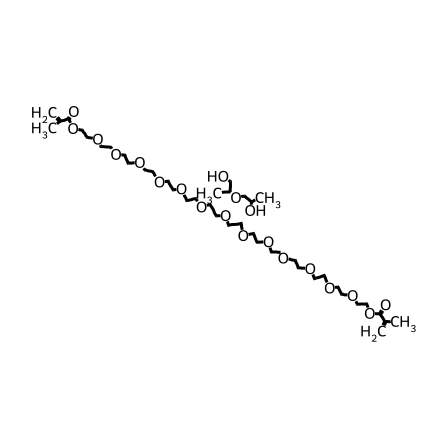 C=C(C)C(=O)OCCOCCOCCOCCOCCOCCOCCOCCOCCOCCOCCOCCOCCOCCOC(=O)C(=C)C.CC(O)COC(C)CO